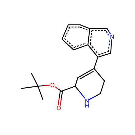 CC(C)(C)OC(=O)C1C=C(c2cncc3ccccc23)CCN1